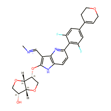 C/N=C/c1c(O[C@@H]2CO[C@H]3[C@@H]2OC[C@H]3O)[nH]c2ccc(-c3c(F)cc(C4=CCOCC4)cc3F)nc12